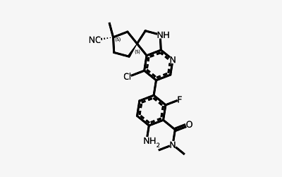 CN(C)C(=O)c1c(N)ccc(-c2cnc3c(c2Cl)[C@@]2(CC[C@](C)(C#N)C2)CN3)c1F